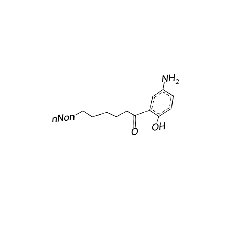 CCCCCCCCCCCCCCC(=O)c1cc(N)ccc1O